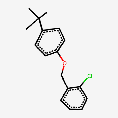 CC(C)(C)c1ccc(OCc2ccccc2Cl)cc1